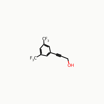 OCC#Cc1cc(C(F)(F)F)cc(C(F)(F)F)c1